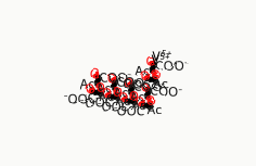 CC(=O)C(OC(C(C)=O)C(=O)C(=O)[O-])C(=O)C(=O)[O-].CC(=O)C(OC(C(C)=O)C(=O)C(=O)[O-])C(=O)C(=O)[O-].CC(=O)C(OC(C(C)=O)C(=O)C(=O)[O-])C(=O)C(=O)[O-].CC(=O)C(OC(C(C)=O)C(=O)C(=O)[O-])C(=O)C(=O)[O-].CC(=O)C(OC(C(C)=O)C(=O)C(=O)[O-])C(=O)C(=O)[O-].[V+5].[V+5]